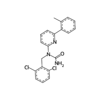 Cc1ccccc1-c1cccc(N(Cc2c(Cl)cccc2Cl)C(N)=O)n1